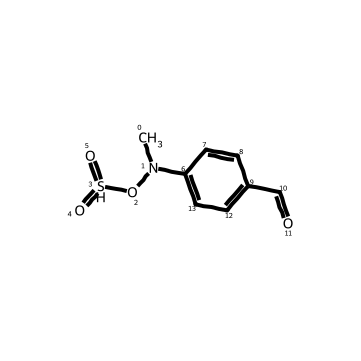 CN(O[SH](=O)=O)c1ccc(C=O)cc1